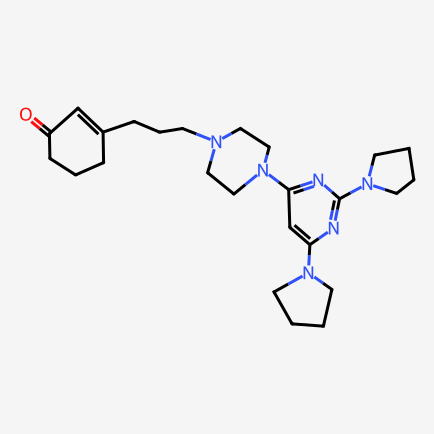 O=C1C=C(CCCN2CCN(c3cc(N4CCCC4)nc(N4CCCC4)n3)CC2)CCC1